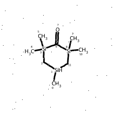 C[SiH]1C[Si](C)(C)C(=O)[Si](C)(C)C1